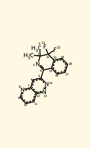 CC1(C)N=C(c2cc3ncccc3nn2)c2ccccc2C1(F)F